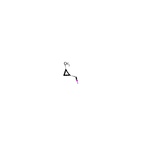 C[C@H]1C[C@H]1CI